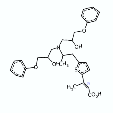 C/C(=C\C(=O)O)c1ccc(CC(C)N(CC(O)COc2ccccc2)CC(O)COc2ccccc2)s1